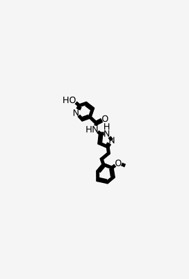 COc1ccccc1CCc1cc(NC(=O)c2ccc(O)nc2)[nH]n1